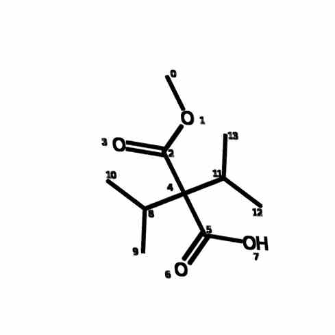 COC(=O)C(C(=O)O)(C(C)C)C(C)C